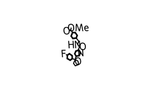 COC(=O)c1ccc(CNC(=O)c2ccc(C3(c4ccc(F)cc4)CCCO3)cn2)cc1